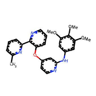 COc1cc(Nc2cc(Oc3cccnc3-c3cccc(C)n3)ccn2)cc(OC)c1OC